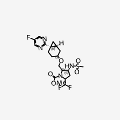 COC(=O)N1C(C(F)F)C[C@H](NS(C)(=O)=O)[C@@H]1CO[C@H]1CC[C@@]2(c3ncc(F)cn3)C[C@H]2C1